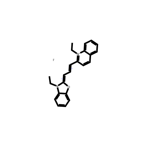 CCN1/C(=C/C=C/c2ccc3ccccc3[n+]2CC)Oc2ccccc21.[I-]